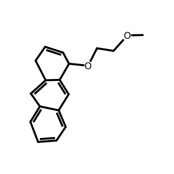 COCCOC1C=CCc2cc3ccccc3cc21